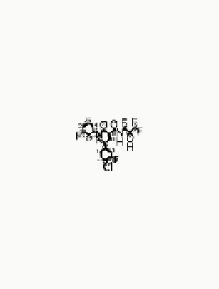 O=C(NC(F)[C@H](O)C(F)F)c1cc(-c2ccc(Cl)c(F)c2)nn(-c2cccc(F)c2)c1=O